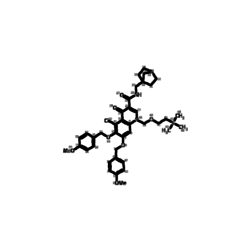 COc1ccc(COc2cc3c(c(Cl)c2OCc2ccc(OC)cc2)c(=O)c(C(=O)NCC24CCN(CC2)C4)cn3COCC[Si](C)(C)C)cc1